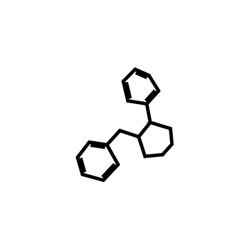 c1ccc(CC2CCCC[C]2c2ccccc2)cc1